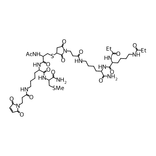 CCC(=O)NCCCCC(NC(=O)CC)C(=O)NC(CCCCNC(=O)CCN1C(=O)CC(SCC(NC(C)=O)C(=O)NC(CCCCNC(=O)CCN2C(=O)C=CC2=O)C(=O)NC(CSC)C(N)=O)C1=O)C(N)=O